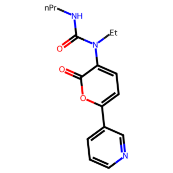 CCCNC(=O)N(CC)c1ccc(-c2cccnc2)oc1=O